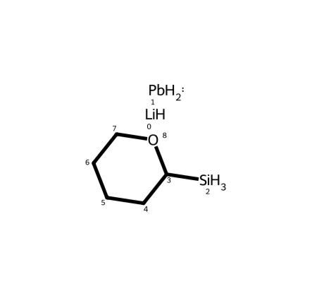 [LiH].[PbH2].[SiH3]C1CCCCO1